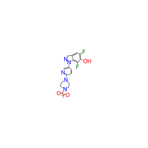 CS(=O)(=O)N1CCN(c2ccc(-n3ncc4cc(F)c(O)c(F)c43)cn2)CC1